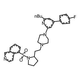 CCCCc1cc(-c2ccc(F)cc2)cc(N2CCN(CCC3CCCN3S(=O)(=O)c3cccc4cnccc34)CC2)n1